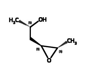 C[C@H](O)C[C@@H]1O[C@H]1C